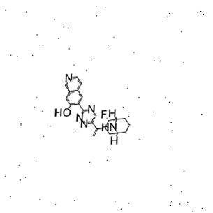 C=C(c1cnc(-c2cc3ccncc3cc2O)nn1)[C@@H]1C[C@H]2CCC[C@H](N2)[C@H]1F